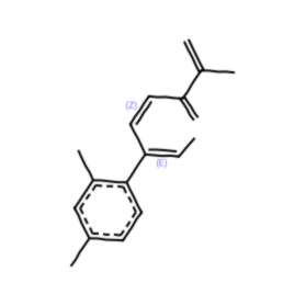 C=C(C)C(=C)/C=C\C(=C/C)c1ccc(C)cc1C